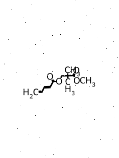 C=C/C=C/C(=O)OCC(C)(C)C(=O)OC